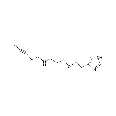 CC#CCCNCCCOCCc1nc[nH]n1